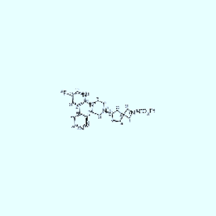 CCOC(=O)N1CC2(CC[C@@H](N3CCN(c4ncc(F)cc4-c4ccnnc4)CC3)C2)C1